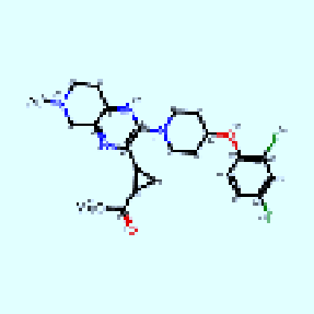 COC(=O)C1CC1c1nc2c(nc1N1CCC(Oc3ccc(F)cc3F)CC1)CCN(C(C)=O)C2